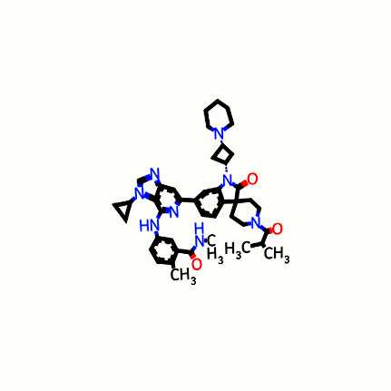 CNC(=O)c1cc(Nc2nc(-c3ccc4c(c3)N([C@H]3C[C@@H](N5CCCCC5)C3)C(=O)C43CCN(C(=O)C(C)C)CC3)cc3ncn(C4CC4)c23)ccc1C